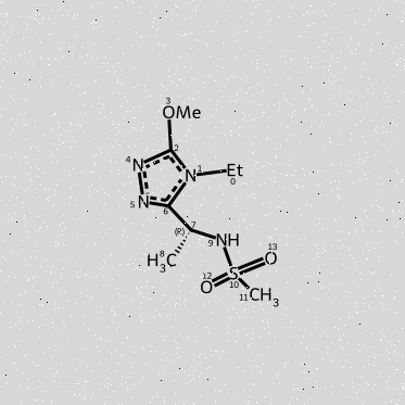 CCn1c(OC)nnc1[C@@H](C)NS(C)(=O)=O